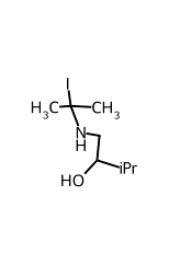 CC(C)C(O)CNC(C)(C)I